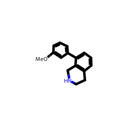 COc1cccc(-c2cccc3c2CNCC3)c1